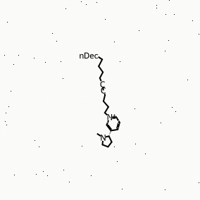 CCCCCCCCCCCCCCCCCCCC[n+]1cccc([C@@H]2CCCN2C)c1